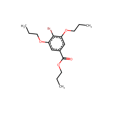 CCCOC(=O)c1cc(OCCC)c(Br)c(OCCC)c1